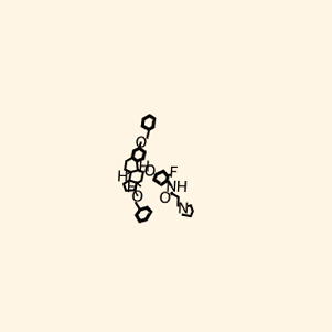 C[C@]12C[C@H](Oc3ccc(NC(=O)CCN4CCCC4)c(F)c3)[C@@H]3c4ccc(OCc5ccccc5)cc4CC[C@H]3[C@@H]1CC[C@@H]2OCc1ccccc1